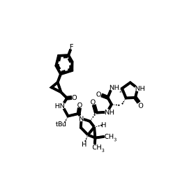 CC(C)(C)[C@H](NC(=O)C1CC1c1ccc(F)cc1)C(=O)N1C[C@H]2[C@@H]([C@H]1C(=O)N[C@@H](C[C@@H]1CCNC1=O)C(N)=O)C2(C)C